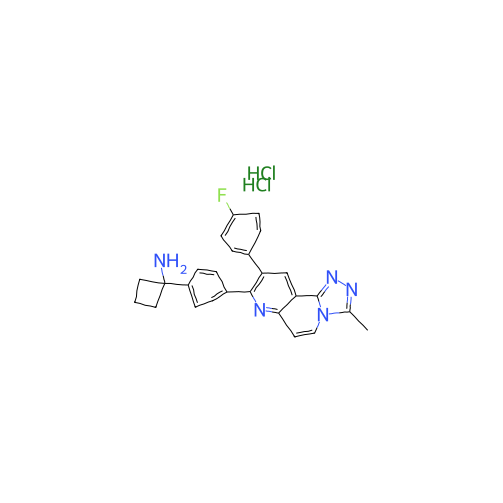 Cc1nnc2c3cc(-c4ccc(F)cc4)c(-c4ccc(C5(N)CCC5)cc4)nc3ccn12.Cl.Cl